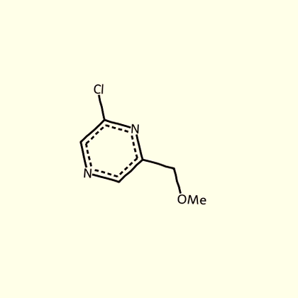 COCc1cncc(Cl)n1